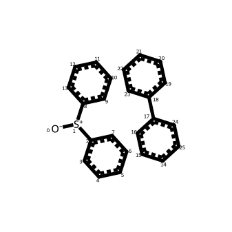 [O-][S+](c1ccccc1)c1ccccc1.c1ccc(-c2ccccc2)cc1